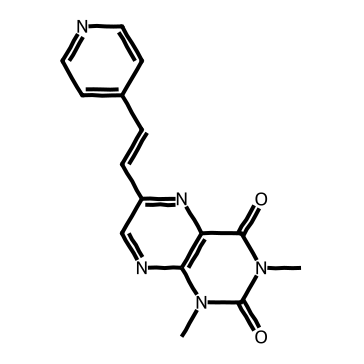 Cn1c(=O)c2nc(C=Cc3ccncc3)cnc2n(C)c1=O